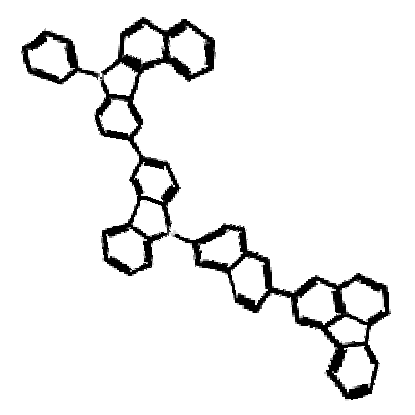 c1ccc(-n2c3ccc(-c4ccc5c(c4)c4ccccc4n5-c4ccc5cc(-c6cc7c8c(cccc8c6)-c6ccccc6-7)ccc5c4)cc3c3c4ccccc4ccc32)cc1